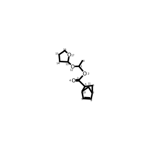 CC(OC(=O)C1CC2C=CC1C2)OC1CCCO1